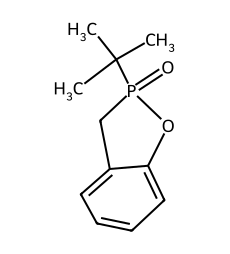 CC(C)(C)P1(=O)Cc2ccccc2O1